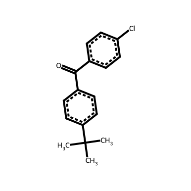 CC(C)(C)c1ccc(C(=O)c2ccc(Cl)cc2)cc1